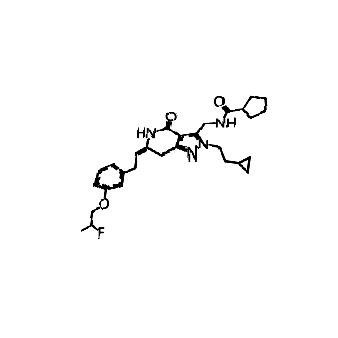 CC(F)COc1cccc(C/C=C2\Cc3nn(CCC4CC4)c(CNC(=O)C4CCCC4)c3C(=O)N2)c1